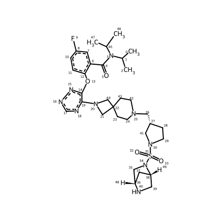 CC(C)N(C(=O)c1cc(F)ccc1Oc1nncnc1N1CC2(CCN(C[C@@H]3CCN(S(=O)(=O)N4C[C@@H]5C[C@H]4CN5)C3)CC2)C1)C(C)C